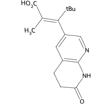 CC(C(=O)O)=C(c1cnc2c(c1)CCC(=O)N2)C(C)(C)C